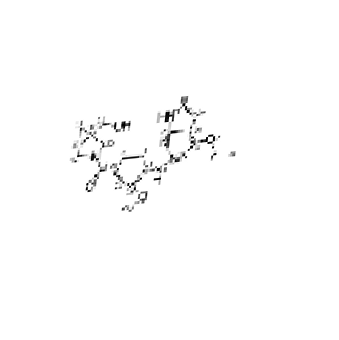 CCOc1nc(Nc2ccc(C(=O)N3CC4CC4(CO)C3)cc2OC)nc2[nH]ccc12